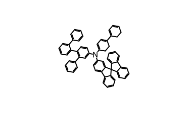 C1=CCCC(C2=CC=C(N(c3ccc(-c4ccccc4-c4ccccc4)c(-c4ccccc4)c3)c3ccc4c(c3)C3(c5ccccc5-c5ccccc53)c3ccccc3-4)CC2)=C1